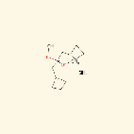 CO[Si](CC1CCC1)(CC1CCC1)OC.[SiH4]